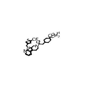 CC1(C(=O)O)CCC(CC(=O)N2CCc3c(n(Cc4csc(C(F)(F)F)c4)c4ncccc34)C2)CC1